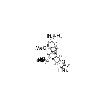 COc1cc(C(=N)N)cc2coc(CC(C(=O)O)c3ccc(O[C@H]4CCNC4)cc3)c12.Cl.Cl